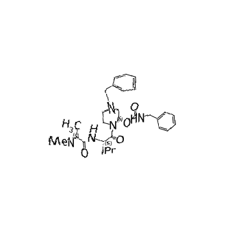 CN[C@@H](C)C(=O)N[C@H](C(=O)N1CCN(Cc2ccccc2)C[C@@H]1OC(=O)NCc1ccccc1)C(C)C